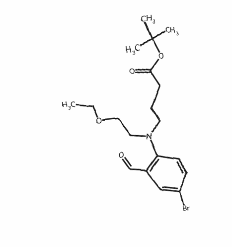 CCOCCN(CCCC(=O)OC(C)(C)C)c1ccc(Br)cc1C=O